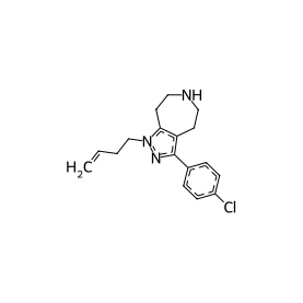 C=CCCn1nc(-c2ccc(Cl)cc2)c2c1CCNCC2